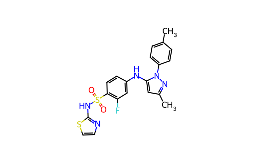 Cc1ccc(-n2nc(C)cc2Nc2ccc(S(=O)(=O)Nc3nccs3)c(F)c2)cc1